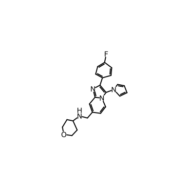 Fc1ccc(-c2nc3cc(CNC4CCOCC4)ccn3c2-n2cccc2)cc1